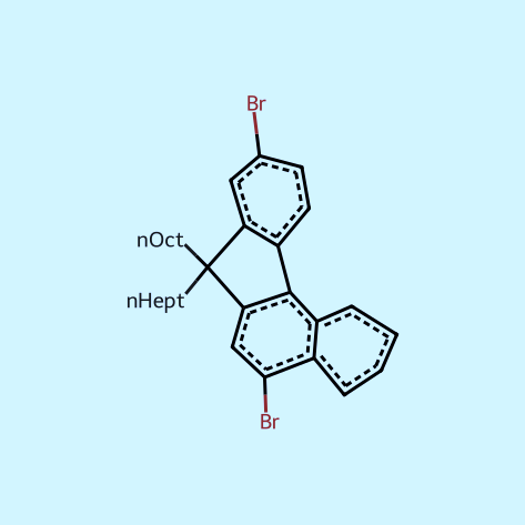 CCCCCCCCC1(CCCCCCC)c2cc(Br)ccc2-c2c1cc(Br)c1ccccc21